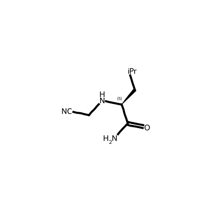 CC(C)C[C@H](NCC#N)C(N)=O